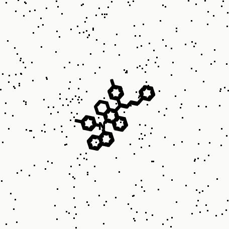 Cc1ccc(C(=CC=Cc2ccccc2)c2c3c(c(N(c4ccc(C)cc4)c4cccc5ccccc45)c4ccccc24)CCCC3)cc1